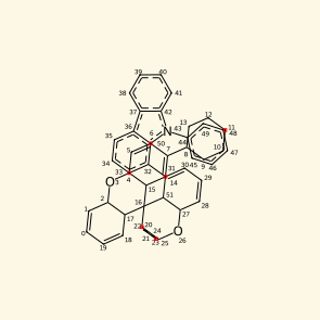 C1=CC2OC3C=CC(C4CCCCC4)=CC3C3(C2C=C1)C1CCCCC1OC1C=CC=C(c2cccc4c5ccccc5n(-c5ccccc5)c24)C13